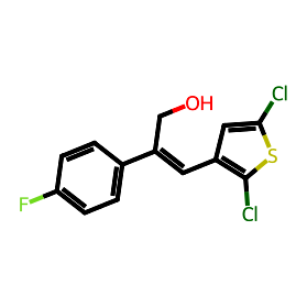 OCC(=Cc1cc(Cl)sc1Cl)c1ccc(F)cc1